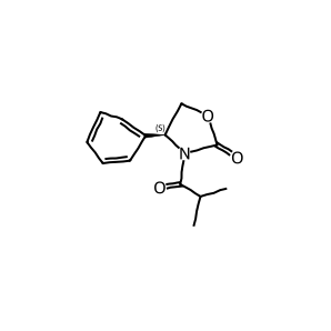 CC(C)C(=O)N1C(=O)OC[C@@H]1c1ccccc1